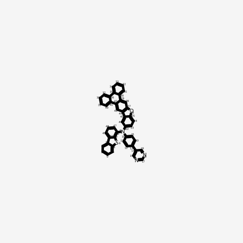 c1ccc2c(c1)sc1c(N(c3ccc(-c4cncnc4)cc3)c3ccc4oc5cc6c7ccccc7c7ccccc7c6cc5c4c3)cccc12